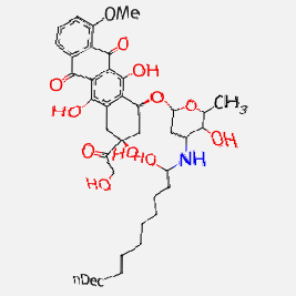 CCCCCCCCCCCCCCCCCC(O)NC1CC(O[C@H]2C[C@](O)(C(=O)CO)Cc3c(O)c4c(c(O)c32)C(=O)c2c(OC)cccc2C4=O)OC(C)C1O